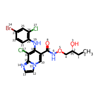 CC[C@@H](O)CONC(=O)c1cn2ccnc2c(Cl)c1Nc1ccc(Br)cc1Cl